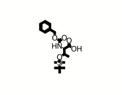 CC(O[Si](C)(C)C(C)(C)C)[C@H](NC(=O)OCc1ccccc1)C(=O)O